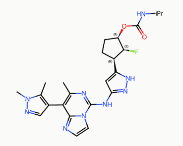 Cc1nc(Nc2cc([C@H]3CC[C@@H](OC(=O)NC(C)C)[C@H]3F)[nH]n2)n2ccnc2c1-c1cnn(C)c1C